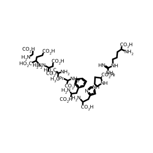 CC(C)C(N)C(=O)O.CC(N)C(=O)O.N=C(N)NCCCC(N)C(=O)O.NC(CC(=O)O)C(=O)O.NC(CCC(=O)O)C(=O)O.NC(Cc1c[nH]cn1)C(=O)O.NC(Cc1ccccc1)C(=O)O.NCC(=O)O.O=C(O)[C@@H]1CCCN1